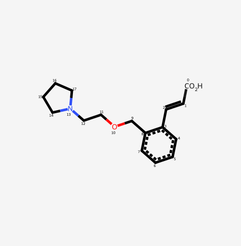 O=C(O)C=Cc1ccccc1COCCN1CCCC1